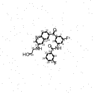 O=C(Nc1cc(F)cc(C(=O)c2ccc3ncc(NCCO)cc3c2)c1)c1cccc(F)c1